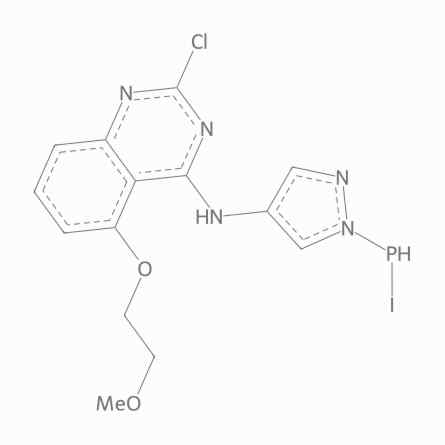 COCCOc1cccc2nc(Cl)nc(Nc3cnn(PI)c3)c12